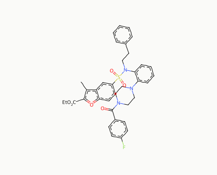 CCOC(=O)c1oc2ccc(S(=O)(=O)N(CCc3ccccc3)c3ccccc3N3CCN(C(=O)c4ccc(F)cc4)CC3)cc2c1C